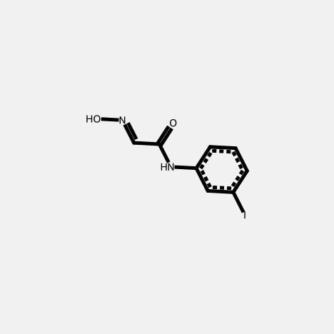 O=C(/C=N/O)Nc1cccc(I)c1